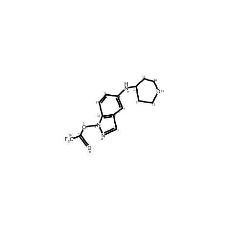 O=C(On1ncc2cc(NC3CCOCC3)ccc21)C(F)(F)F